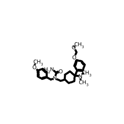 COCOc1cccc(C2(N(C)C)CCC(CN(Cc3ccc(OC)cc3)C(N)=O)CC2)c1